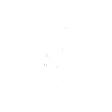 CC(=O)O[C@H]1C[C@]2(O)[C@@H]3CC[C@@H]4C[C@@H](OC(=O)C(=O)OCc5ccccc5)CC[C@]4(C)[C@H]3CC[C@]2(C)[C@H]1c1ccc(=O)oc1